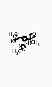 CCC(CC(=O)O)c1ccc([C@@H](CC)N2CCOCC2)c(Nc2cnc(C)nc2)c1